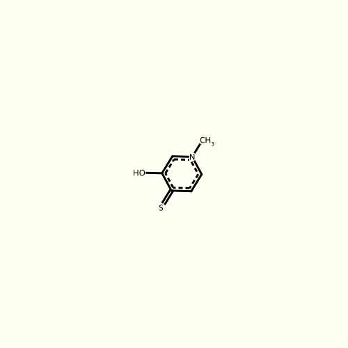 Cn1ccc(=S)c(O)c1